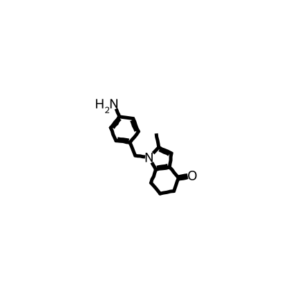 Cc1cc2c(n1Cc1ccc(N)cc1)CCCC2=O